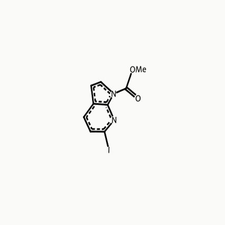 COC(=O)n1ccc2ccc(I)nc21